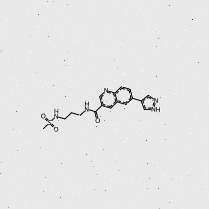 CS(=O)(=O)NCCCNC(=O)c1cnc2ccc(-c3cn[nH]c3)cc2c1